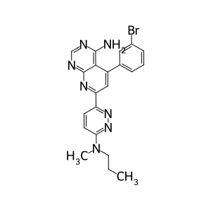 CCCN(C)c1ccc(-c2cc(-c3cccc(Br)c3)c3c(N)ncnc3n2)nn1